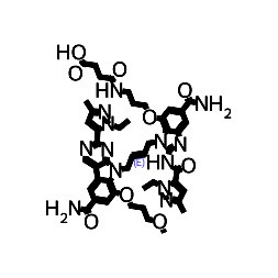 CCn1nc(C)cc1C(=O)Nc1nc2cc(C(N)=O)cc(OCCCNC(=O)CCC(=O)O)c2n1C/C=C/Cn1c2nc(-c3cc(C)nn3CC)ncc2c2cc(C(N)=O)cc(OCCCOC)c21